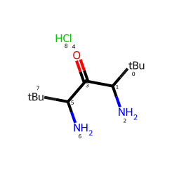 CC(C)(C)C(N)C(=O)C(N)C(C)(C)C.Cl